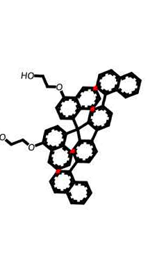 OCCOc1ccc(C2(c3ccc(OCCO)c4ccccc34)c3cc(-c4cccc5ccccc45)ccc3-c3ccc(-c4cccc5ccccc45)cc32)c2ccccc12